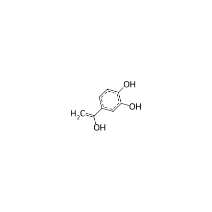 C=C(O)c1ccc(O)c(O)c1